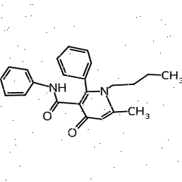 CCCCn1c(C)cc(=O)c(C(=O)Nc2ccccc2)c1-c1ccccc1